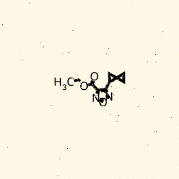 CCOC(=O)c1nonc1C1CC12CC2